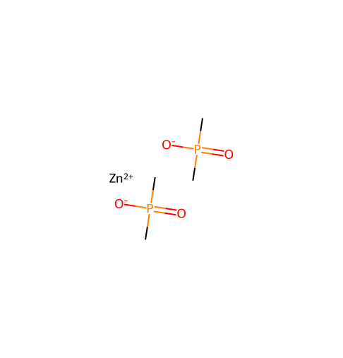 CP(C)(=O)[O-].CP(C)(=O)[O-].[Zn+2]